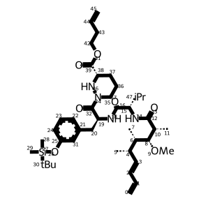 C=C/C=C/[C@H](C)[C@H](C)[C@@H](OC)[C@@H](C)C(=O)N[C@H](C(=O)N[C@@H](Cc1cccc(O[Si](C)(C)C(C)(C)C)c1)C(=O)N1CCC[C@@H](C(=O)OCCC=C)N1)C(C)C